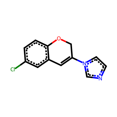 Clc1ccc2c(c1)C=C(n1ccnc1)CO2